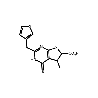 CC1c2c(nc(Cc3ccsc3)[nH]c2=S)SC1C(=O)O